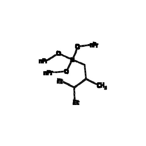 CCCO[Si](CC(C)C(CC)CC)(OCCC)OCCC